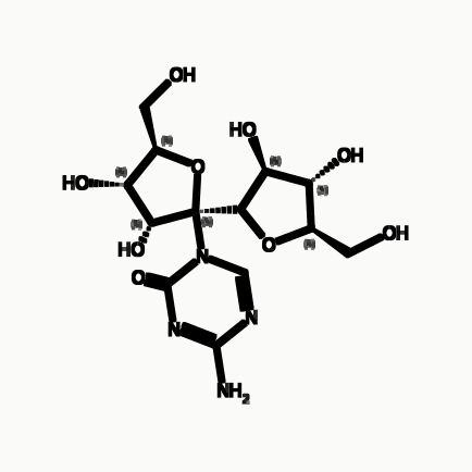 Nc1ncn([C@]2(C3O[C@H](CO)[C@@H](O)[C@@H]3O)O[C@H](CO)[C@@H](O)[C@H]2O)c(=O)n1